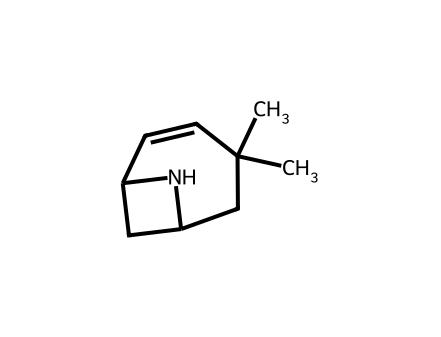 CC1(C)C=CC2CC(C1)N2